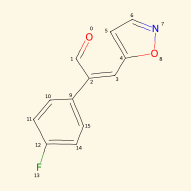 O=CC(=Cc1ccno1)c1ccc(F)cc1